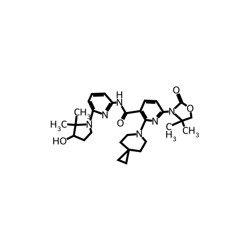 CC1(C)COC(=O)N1c1ccc(C(=O)Nc2cccc(N3CCC(O)C3(C)C)n2)c(N2CCC3(CC2)CC3)n1